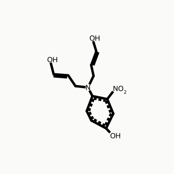 O=[N+]([O-])c1cc(O)ccc1N(CC=CO)CC=CO